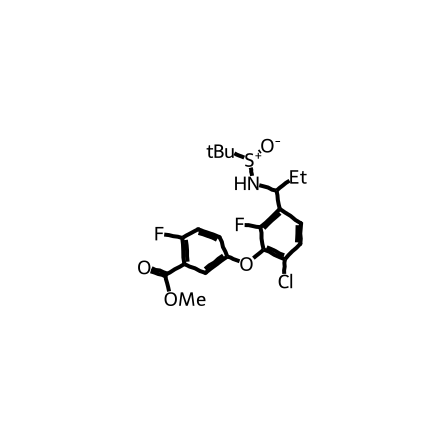 CCC(N[S+]([O-])C(C)(C)C)c1ccc(Cl)c(Oc2ccc(F)c(C(=O)OC)c2)c1F